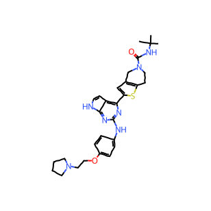 CC(C)(C)NC(=O)N1CCc2sc(-c3nc(Nc4ccc(OCCN5CCCC5)cc4)nc4[nH]ccc34)cc2C1